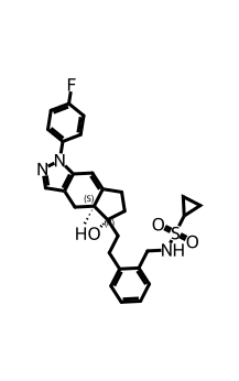 C[C@]12Cc3cnn(-c4ccc(F)cc4)c3C=C1CC[C@@]2(O)CCc1ccccc1CNS(=O)(=O)C1CC1